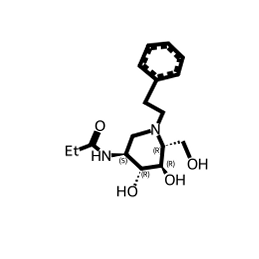 CCC(=O)N[C@H]1CN(CCc2ccccc2)[C@H](CO)[C@@H](O)[C@@H]1O